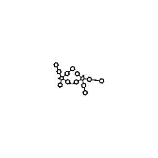 O=C1C(c2ccccc2)=C(c2ccc(Oc3ccc(C4=C(c5ccccc5)C(=O)C(c5ccc(-c6ccccc6)cc5)=C4c4ccc(-c5ccccc5)cc4)cc3)cc2)C(c2ccc(-c3ccccc3)cc2)=C1c1ccc(C#Cc2ccccc2)cc1